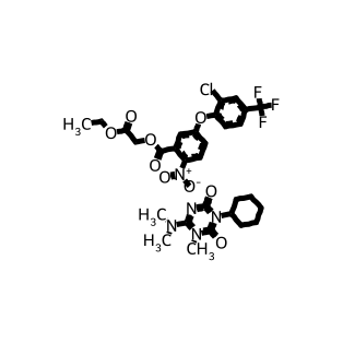 CCOC(=O)COC(=O)c1cc(Oc2ccc(C(F)(F)F)cc2Cl)ccc1[N+](=O)[O-].CN(C)c1nc(=O)n(C2CCCCC2)c(=O)n1C